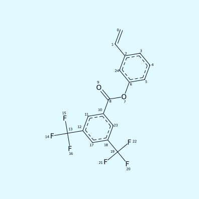 C=Cc1cccc(OC(=O)c2cc(C(F)(F)F)cc(C(F)(F)F)c2)c1